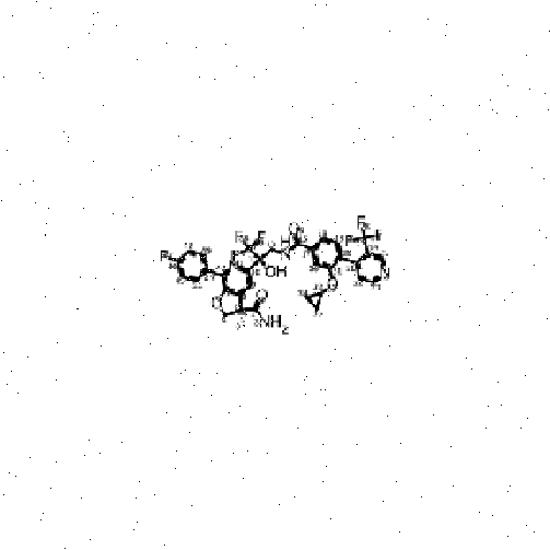 C[C@]1(C(N)=O)COc2c1cc(C(O)(CNC(=O)c1ccc(-c3ccncc3C(F)(F)F)c(OC3CC3)c1)C(F)(F)F)nc2-c1ccc(F)cc1